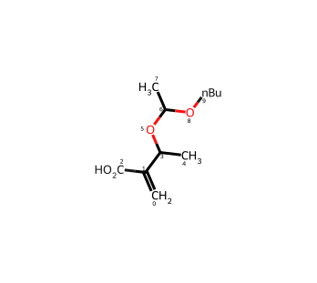 C=C(C(=O)O)C(C)OC(C)OCCCC